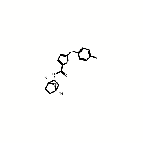 O=C(N[C@@H]1C[C@H]2CC[C@@H]1N2)c1ccc(Sc2ccc(Cl)cc2)o1